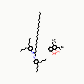 CCCCCCCCCCCCCCCCCCCCC(C=Nc1ccc(CCCC)c(CCCC)c1)=Nc1ccc(CCCC)c(CCCC)c1.CCc1cc(C[Si](C)(C)C)c2cccc(O)c2c1O.[Ni]